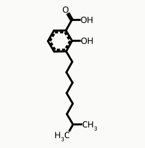 CC(C)CCCCCCc1cccc(C(=O)O)c1O